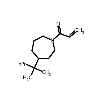 C=CC(=O)N1CCCC(C(C)(C)CCC)CC1